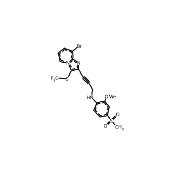 COc1cc(S(C)(=O)=O)ccc1NCC#Cc1nc2c(Br)cccn2c1SC(F)(F)F